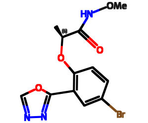 CONC(=O)[C@H](C)Oc1ccc(Br)cc1-c1nnco1